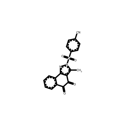 Cc1c2c(nn1S(=O)(=O)c1ccc(C#N)cc1)-c1ccccc1C(=O)C2=O